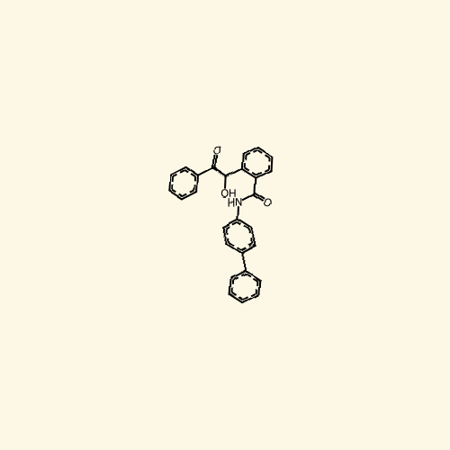 O=C(Nc1ccc(-c2ccccc2)cc1)c1ccccc1C(O)C(=O)c1ccccc1